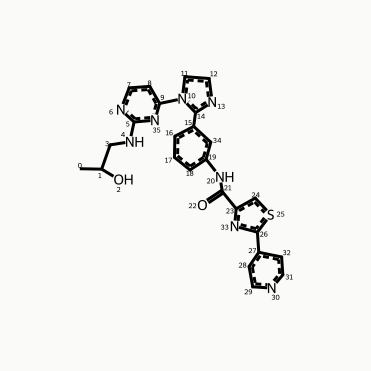 CC(O)CNc1nccc(-n2ccnc2-c2cccc(NC(=O)c3csc(-c4ccncc4)n3)c2)n1